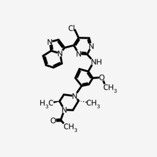 COc1cc(N2C[C@H](C)N(C(C)=O)C[C@H]2C)ccc1Nc1ncc(Cl)c(-c2cnc3ccccn23)n1